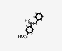 O=S(=O)(O)c1ccc(NCc2ccccc2)cc1.[KH]